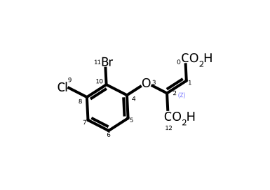 O=C(O)/C=C(\Oc1cccc(Cl)c1Br)C(=O)O